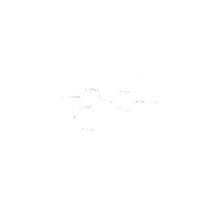 COc1ccc(-c2cnc(C#N)c(NC(C)CO)c2)cc1C(C)=O